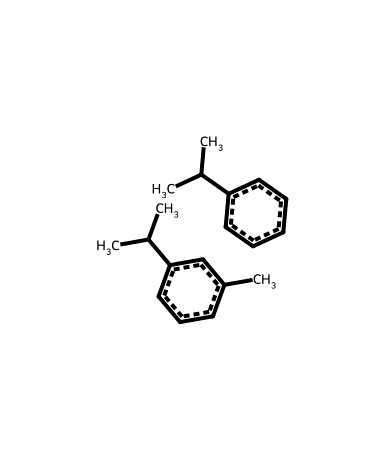 CC(C)c1ccccc1.Cc1cccc(C(C)C)c1